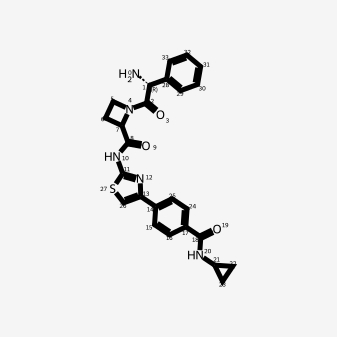 N[C@@H](C(=O)N1CCC1C(=O)Nc1nc(-c2ccc(C(=O)NC3CC3)cc2)cs1)c1ccccc1